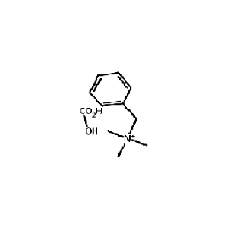 C[N+](C)(C)Cc1ccccc1.O=C(O)O